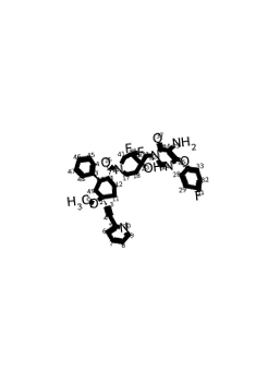 CO[C@]1(C#Cc2ccccn2)CC[C@@H](C(=O)N2CC[C@](O)(Cn3cnc(Oc4ccc(F)cc4)c(N)c3=O)C(F)(F)C2)[C@H](c2ccccc2)C1